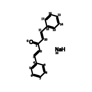 O=C(C=Cc1ccccc1)C=Cc1ccccc1.[NaH]